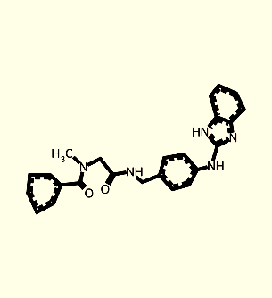 CN(CC(=O)NCc1ccc(Nc2nc3ccccc3[nH]2)cc1)C(=O)c1[c]cccc1